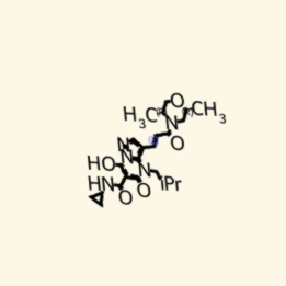 CC(C)Cn1c(=O)c(C(=O)NC2CC2)c(O)n2ncc(/C=C/C(=O)N3C[C@@H](C)OC[C@H]3C)c12